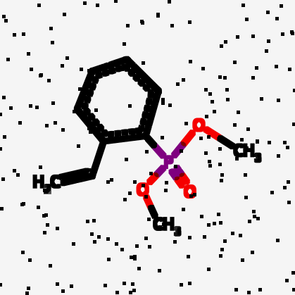 C=Cc1ccccc1P(=O)(OC)OC